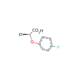 CC[C@H](Oc1ccc(F)cc1)C(=O)O